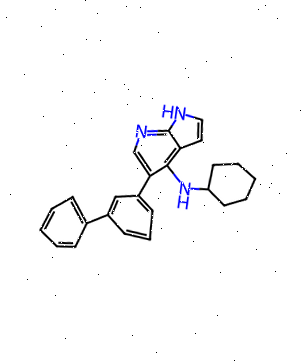 c1ccc(-c2cccc(-c3cnc4[nH]ccc4c3NC3CCCCC3)c2)cc1